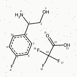 NC(CO)c1ccc(F)cc1.O=C(O)C(F)(F)F